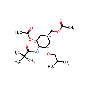 CC(=O)OC[C@H]1C[C@H](OCC(C)C)[C@H](NC(=O)C(C)(C)C)[C@@H](OC(C)=O)C1